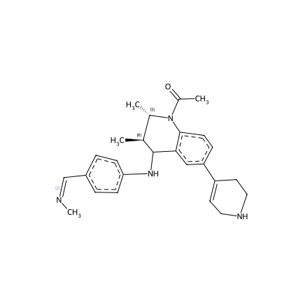 C/N=C\c1ccc(NC2c3cc(C4=CCNCC4)ccc3N(C(C)=O)[C@@H](C)[C@@H]2C)cc1